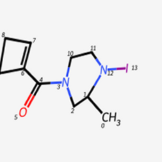 CC1CN(C(=O)C2=CCC2)CCN1I